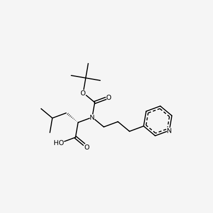 CC(C)C[C@@H](C(=O)O)N(CCCc1cccnc1)C(=O)OC(C)(C)C